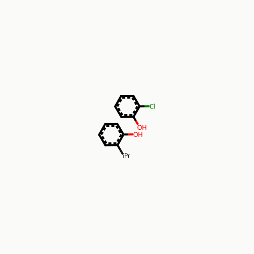 CC(C)c1ccccc1O.Oc1ccccc1Cl